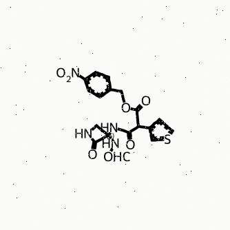 O=CN[C@]1(NC(=O)C(C(=O)OCc2ccc([N+](=O)[O-])cc2)c2ccsc2)CNC1=O